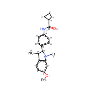 CCOc1ccc2c(c1)N(CC)C(c1ccc(NC(=O)C3CCC3)cc1)C2C#N